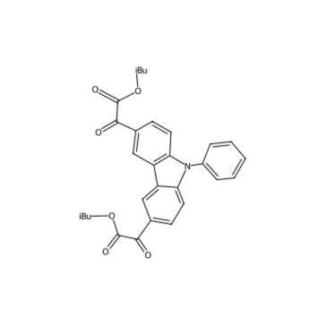 CCC(C)OC(=O)C(=O)c1ccc2c(c1)c1cc(C(=O)C(=O)OC(C)CC)ccc1n2-c1ccccc1